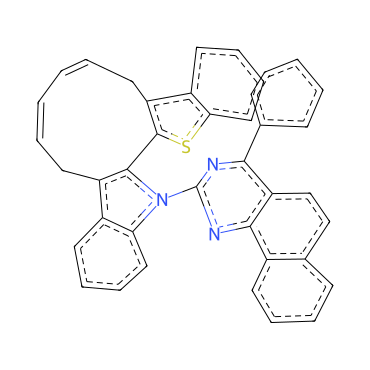 C1=C\Cc2c(sc3ccccc23)-c2c(c3ccccc3n2-c2nc(-c3ccccc3)c3ccc4ccccc4c3n2)C\C=C/1